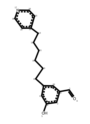 O=Cc1cc(O)cc(CCCCCCc2ccncc2)c1